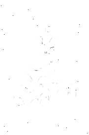 COc1ccc(S(=O)(=O)Nc2cc(C(=O)O)cc(OCCOC(=O)Nc3ccccn3)c2Oc2ccccc2OC)cc1